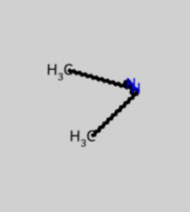 CCCCCCCCCCCCCCCCCCCCc1ccnc(-c2cc(CCCCCCCCCCCCCCCCCCCC)ccn2)c1